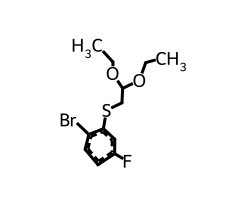 CCOC(CSc1cc(F)ccc1Br)OCC